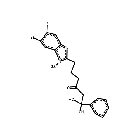 CC(O)(CC(=O)CCCc1nc2cc(F)c(Cl)cc2n1C(C)(C)C)c1ccccc1